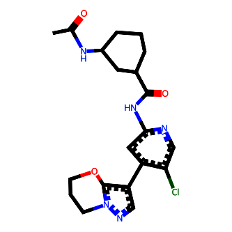 CC(=O)NC1CCCC(C(=O)Nc2cc(-c3cnn4c3OCCC4)c(Cl)cn2)C1